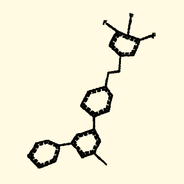 Cc1cc(-c2ccccc2)cc(-c2ccc(CCc3cc(F)c(F)c(F)c3)cc2)c1